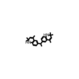 CC1=CC(C)(C)Nc2ccc(C(C)c3ccc4c(c3)C(C)=CC(C)(C)N4)cc21